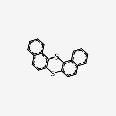 c1ccc2c3c(ccc2c1)Sc1ccc2ccccc2c1S3